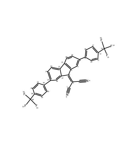 N#CC(C#N)=C1c2cc(-c3ccc(C(F)(F)F)cc3)ccc2-c2ccc(-c3ccc(C(F)(F)F)cc3)cc21